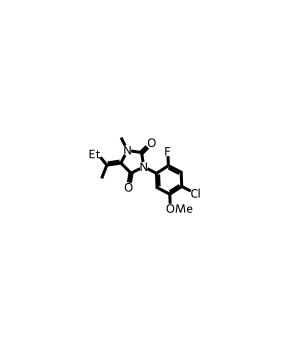 CCC(C)=C1C(=O)N(c2cc(OC)c(Cl)cc2F)C(=O)N1C